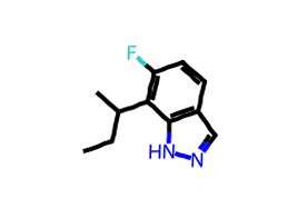 CCC(C)c1c(F)ccc2cn[nH]c12